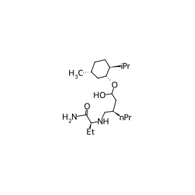 CCC[C@@H](CN[C@@H](CC)C(N)=O)CC(O)O[C@@H]1C[C@H](C)CC[C@H]1C(C)C